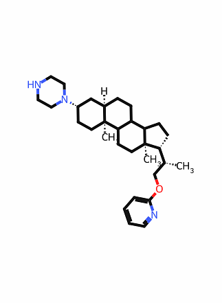 C[C@H](COc1ccccn1)[C@H]1CCC2C3CC[C@@H]4C[C@@H](N5CCNCC5)CC[C@]4(C)C3CC[C@@]21C